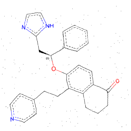 O=C1CCCc2c1ccc(O[C@@H](Cc1ncc[nH]1)c1ccccc1)c2CCc1ccncc1